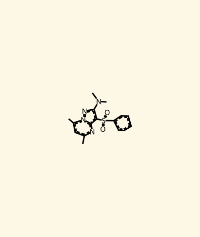 Cc1cc(C)n2nc(N(C)C)c(S(=O)(=O)c3ccccc3)c2n1